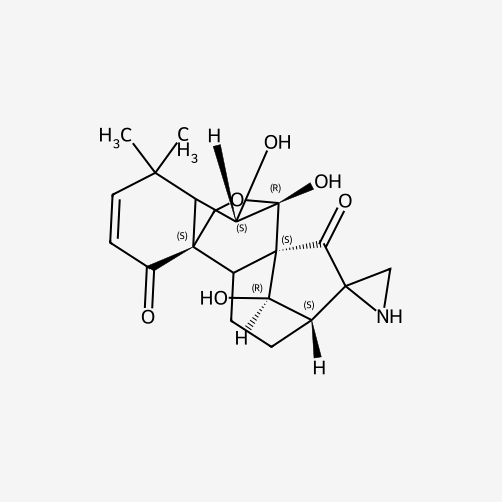 CC1(C)C=CC(=O)[C@]23CO[C@@](O)([C@@H](O)C12)[C@]12C(=O)C4(CN4)[C@H](CCC31)[C@H]2O